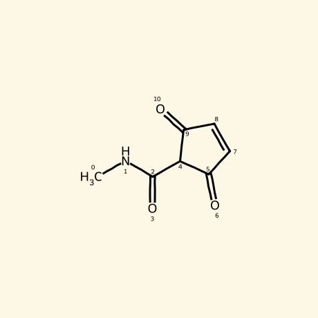 CNC(=O)C1C(=O)C=CC1=O